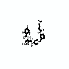 CN(C)CC=CC(=O)Nc1cccc(CN2CCC(NC(=O)c3n[nH]cc3NC(=O)c3c(F)cc(F)cc3F)CC2)c1